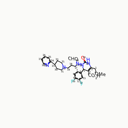 COCC1=C(C(=O)O)C(c2ccc(F)c(F)c2)N(N(C=O)CCCN2CCC(c3ccccn3)CC2)C(=O)N1